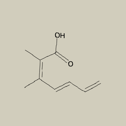 C=CC=CC(C)=C(C)C(=O)O